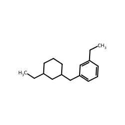 CCc1cccc(CC2CCCC(CC)C2)c1